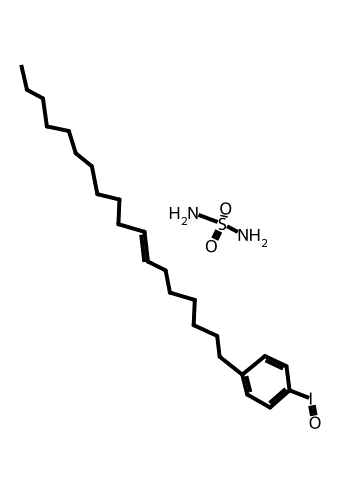 CCCCCCCCCCC=CCCCCCCc1ccc(I=O)cc1.NS(N)(=O)=O